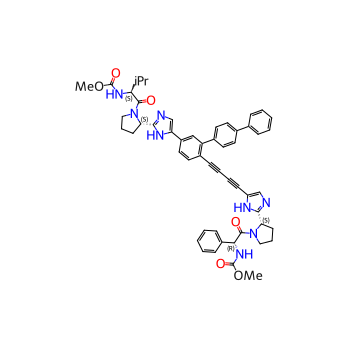 COC(=O)N[C@H](C(=O)N1CCC[C@H]1c1ncc(-c2ccc(C#CC#Cc3cnc([C@@H]4CCCN4C(=O)[C@H](NC(=O)OC)c4ccccc4)[nH]3)c(-c3ccc(-c4ccccc4)cc3)c2)[nH]1)C(C)C